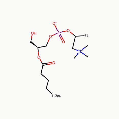 CCCCCCCCCCCCCC(=O)O[C@@H](CO)COP(=O)([O-])OC(CC)C[N+](C)(C)C